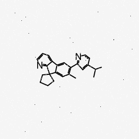 Cc1cc2c(cc1-c1cc(C(C)C)ccn1)-c1cccnc1C21CCCC1